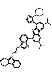 CC(C)c1cc(-c2cccc3c2ncn3COCn2c3c(c4ccccc42)CCC=C3)c2oc3c(-n4ccnc4C4CCCCC4)cc(C(C)C)cc3c2c1